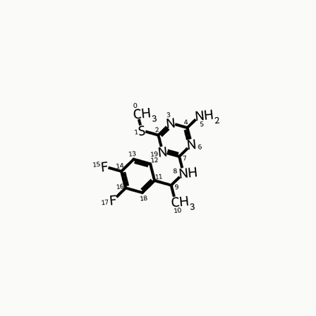 CSc1nc(N)nc(NC(C)c2ccc(F)c(F)c2)n1